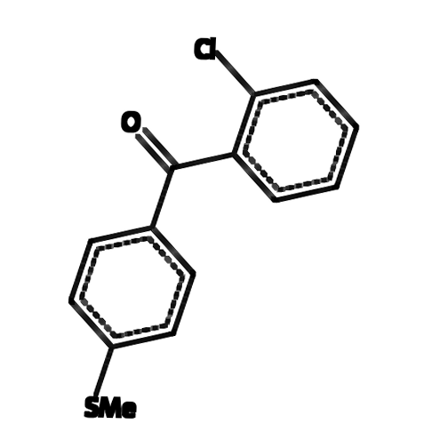 CSc1ccc(C(=O)c2ccccc2Cl)cc1